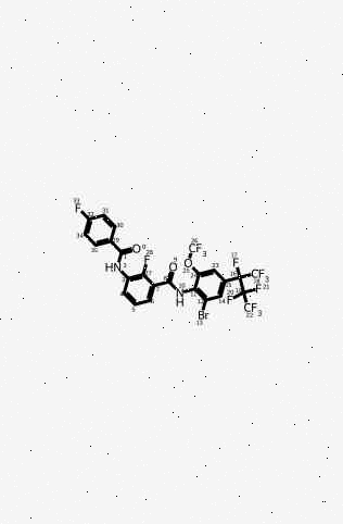 O=C(Nc1cccc(C(=O)Nc2c(Br)cc(C(F)(C(F)(F)F)C(F)(F)C(F)(F)F)cc2OC(F)(F)F)c1F)c1ccc(F)cc1